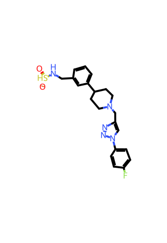 O=[SH](=O)NCc1cccc(C2CCN(Cc3cn(-c4ccc(F)cc4)nn3)CC2)c1